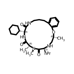 CCC[C@@H]1NC[C@@H](C)Oc2ccccc2CCCNC(=O)[C@@H](C2CCCCC2)NC(=O)[C@@H](C)N(C)C1=O